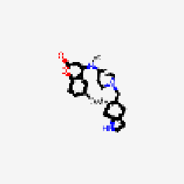 CCN(c1cc(=O)oc2ccc(OC)cc12)C1CCN(Cc2ccc3[nH]ccc3c2)CC1